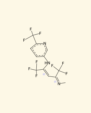 C/N=C(/C=C(\Nc1ccc(C(F)(F)F)nc1)C(F)(F)F)C(F)(F)F